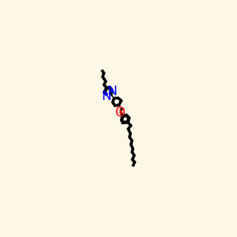 CCCCCCCCCCCCc1ccc(OC[C@H]2CC[C@H](c3ncc(CCCCC)cn3)CC2)cc1